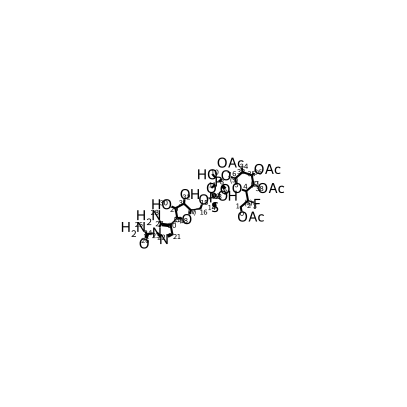 CC(=O)OC[C@H](F)C1O[C@@H](OP(=O)(O)OP(O)(=S)OC[C@H]2O[C@@H](c3cnn(C(N)=O)c3N)C(O)C2O)C(OC(C)=O)C(OC(C)=O)[C@@H]1OC(C)=O